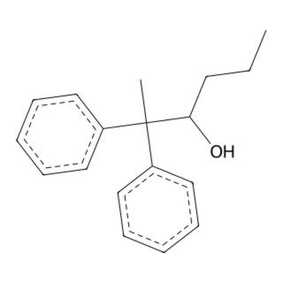 CCCC(O)C(C)(c1ccccc1)c1ccccc1